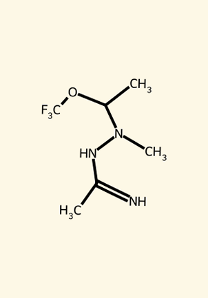 CC(=N)NN(C)C(C)OC(F)(F)F